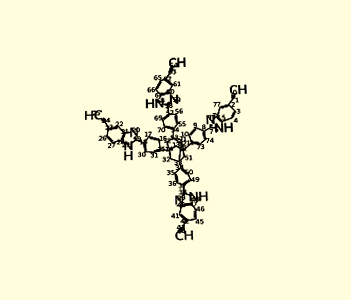 C#Cc1ccc2[nH]c(-c3ccc(C45CC6(c7ccc(-c8nc9cc(C#C)ccc9[nH]8)cc7)CC(c7ccc(-c8nc9cc(C#C)ccc9[nH]8)cc7)(C4)CC(c4ccc(-c7nc8cc(C#C)ccc8[nH]7)cc4)(C5)C6)cc3)nc2c1